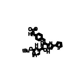 CC(C)C[C@H](NC(=O)OC(C)(C)C)C(=O)N[C@@H](Cc1ccc(N[SH](=O)=O)cc1)c1nc(-c2cccs2)c[nH]1